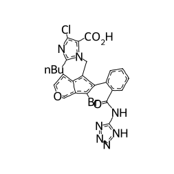 CCCCc1nc(Cl)c(C(=O)O)n1Cc1c2ccocc-2c(Br)c1-c1ccccc1C(=O)Nc1nnn[nH]1